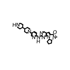 CN(C)C(=O)c1cc2cnc(Nc3ccc(N4CCC(C5CCNCC5)CC4)cn3)nc2n1C1CCCC1